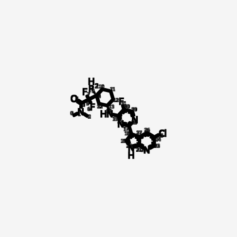 CN(C)C(=O)C(F)(F)[C@@]1(P)CCC[C@@H](Nc2nc(-c3c[nH]c4ncc(Cl)cc34)ncc2F)C1